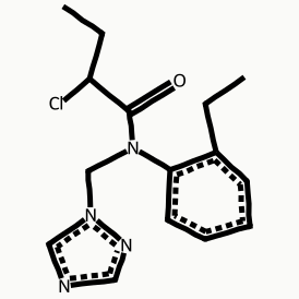 CCc1ccccc1N(Cn1cncn1)C(=O)C(Cl)CC